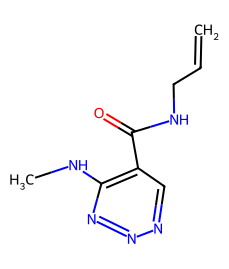 C=CCNC(=O)c1cnnnc1NC